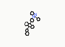 C1=c2c(-c3ccc(-n4c(-c5ccccc5)nc5ccccc54)cc3)c3ccccc3c(-c3ccc4ccccc4c3)c2=CCC1